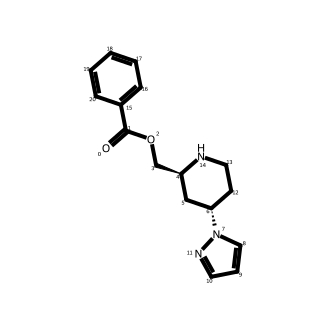 O=C(OC[C@@H]1C[C@@H](n2cccn2)CCN1)c1ccccc1